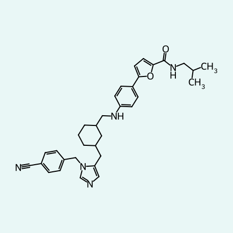 CC(C)CNC(=O)c1ccc(-c2ccc(NCC3CCCC(Cc4cncn4Cc4ccc(C#N)cc4)C3)cc2)o1